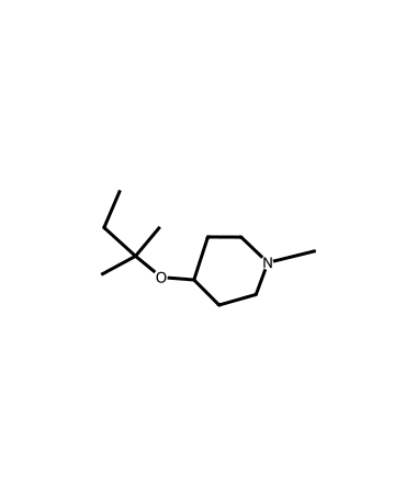 CCC(C)(C)OC1CCN(C)CC1